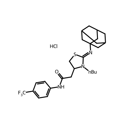 CCCCN1C(=NC23CC4CC(CC(C4)C2)C3)SCC1CC(=O)Nc1ccc(C(F)(F)F)cc1.Cl